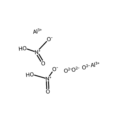 O=[N+]([O-])O.O=[N+]([O-])O.[Al+3].[Al+3].[O-2].[O-2].[O-2]